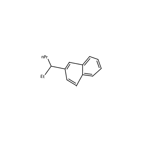 CCCC(CC)c1c[c]c2ccccc2c1